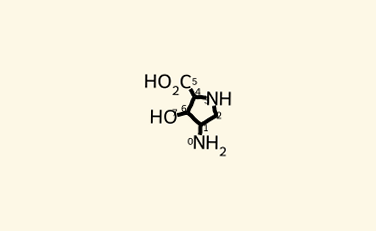 NC1CNC(C(=O)O)C1O